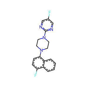 Fc1cnc(N2CCN(c3ccc(F)c4ccccc34)CC2)nc1